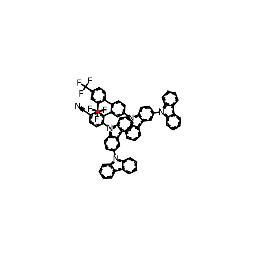 N#Cc1ccc(-n2c3ccccc3c3cc(-n4c5ccccc5c5ccccc54)ccc32)c(-c2cc(-n3c4ccccc4c4cc(-n5c6ccccc6c6ccccc65)ccc43)ccc2-c2ccc(C(F)(F)F)cc2C(F)(F)F)c1